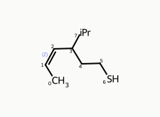 C/C=C\C(CCS)C(C)C